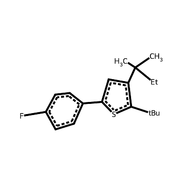 CCC(C)(C)c1cc(-c2ccc(F)cc2)sc1C(C)(C)C